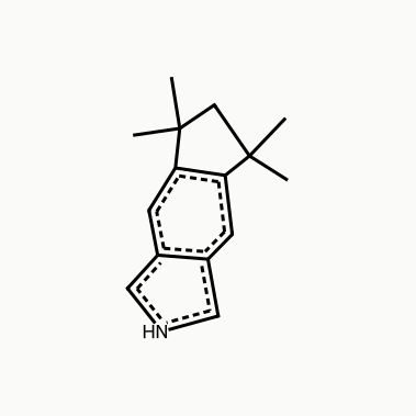 CC1(C)CC(C)(C)c2cc3c[nH]cc3cc21